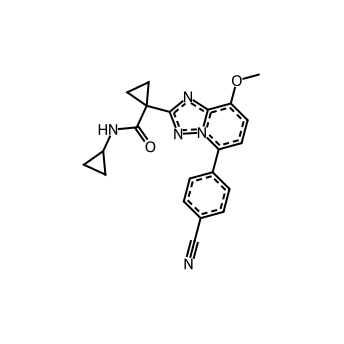 COc1ccc(-c2ccc(C#N)cc2)n2nc(C3(C(=O)NC4CC4)CC3)nc12